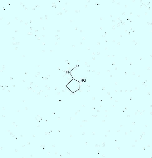 CCNC1CCCC1.Cl